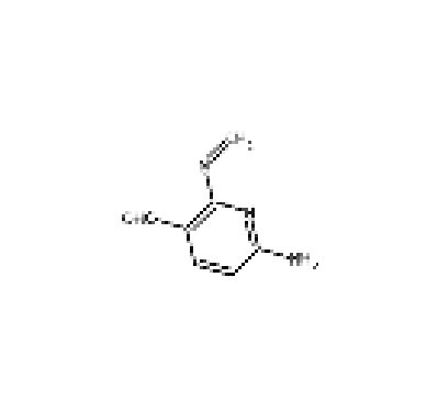 C=Nc1nc(N)ccc1C=O